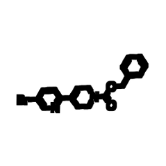 O=C(OCc1ccccc1)N1CC=C(c2ccc(Br)cn2)CC1